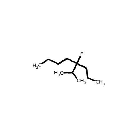 CCCCC(F)(CCC)C(C)C